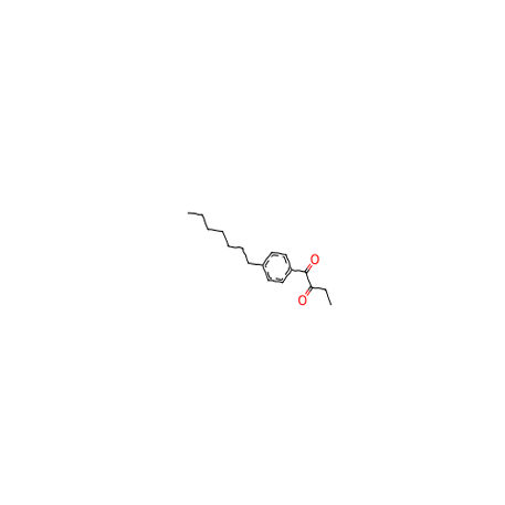 CCCCCCCc1ccc(C(=O)C(=O)CC)cc1